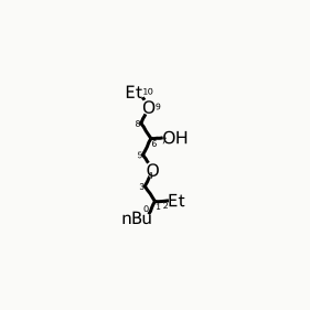 CCCCC(CC)COCC(O)COCC